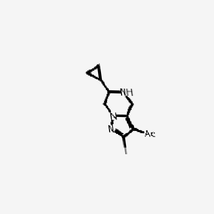 CC(=O)c1c(I)nn2c1CNC(C1CC1)C2